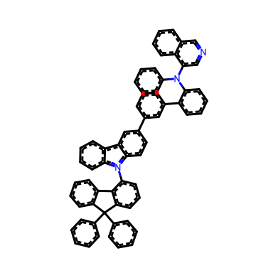 c1ccc(N(c2ccccc2-c2cccc(-c3ccc4c(c3)c3ccccc3n4-c3cccc4c3-c3ccccc3C4(c3ccccc3)c3ccccc3)c2)c2cncc3ccccc23)cc1